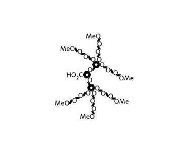 COCCOCCOCCOc1cc(COc2cc(OCc3cc(OCCOCCOCCOC)c(OCCOCCOCCOC)c(OCCOCCOCCOC)c3)cc(C(=O)O)c2)cc(OCCOCCOCCOC)c1OCCOCCOCCOC